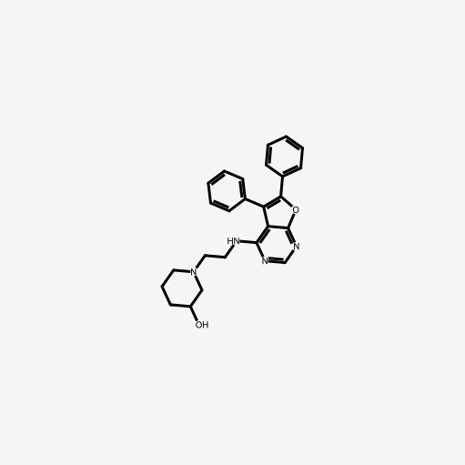 OC1CCCN(CCNc2ncnc3oc(-c4ccccc4)c(-c4ccccc4)c23)C1